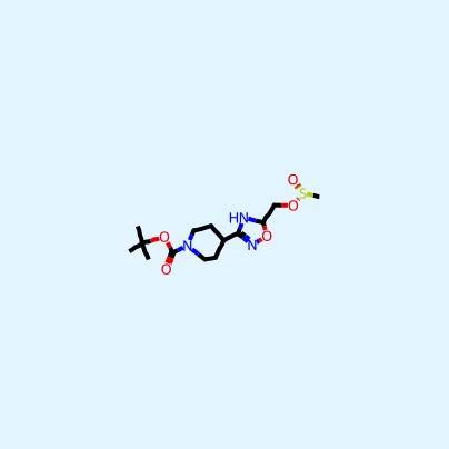 CS(=O)OCC1NC(C2CCN(C(=O)OC(C)(C)C)CC2)=NO1